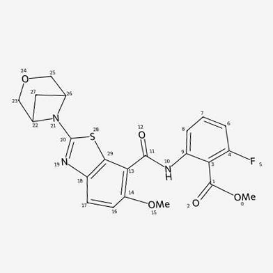 COC(=O)c1c(F)cccc1NC(=O)c1c(OC)ccc2nc(N3C4COCC3C4)sc12